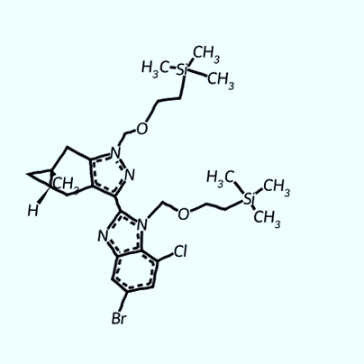 C[C@@]12Cc3c(c(-c4nc5cc(Br)cc(Cl)c5n4COCC[Si](C)(C)C)nn3COCC[Si](C)(C)C)C[C@@H]1C2